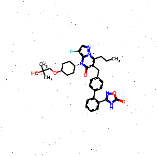 CCCc1c(Cc2ccc(-c3ccccc3-c3noc(=O)[nH]3)cc2)c(=O)n([C@H]2CC[C@H](OCC(C)(C)O)CC2)c2c(F)cnn12